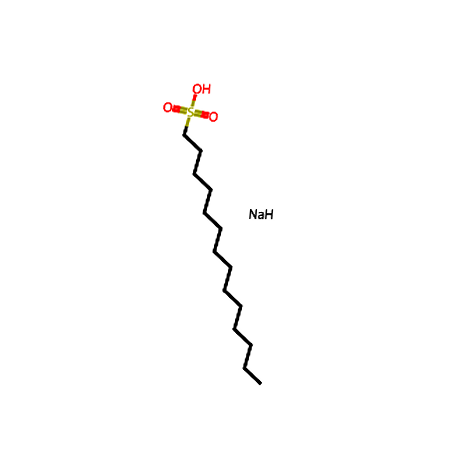 CCCCCCCCCCCCCCS(=O)(=O)O.[NaH]